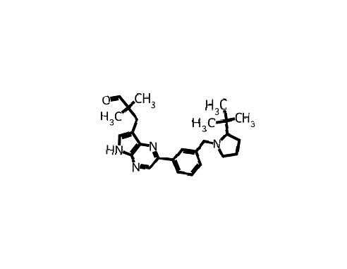 CC(C)(C=O)Cc1c[nH]c2ncc(-c3cccc(CN4CCCC4C(C)(C)C)c3)nc12